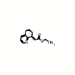 CCOC(=O)/C=C1\CCCc2cccnc21